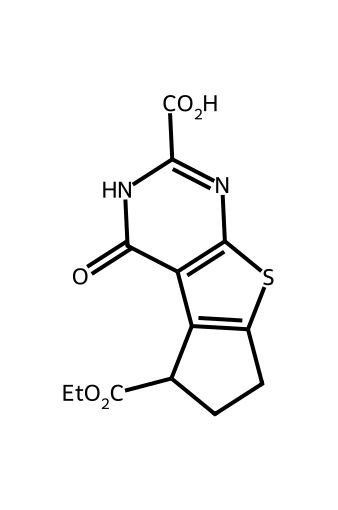 CCOC(=O)C1CCc2sc3nc(C(=O)O)[nH]c(=O)c3c21